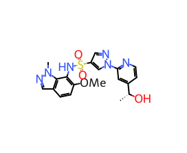 COc1ccc2cnn(C)c2c1NS(=O)(=O)c1cnn(-c2cc([C@@H](C)O)ccn2)c1